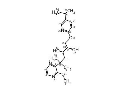 COc1nccnc1C(C)(C)CC(O)[C@H](O)COc1cnc(C(C)C)cn1